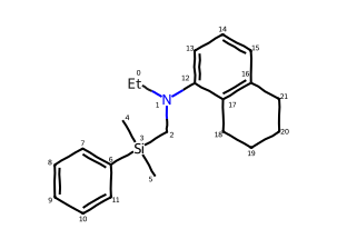 CCN(C[Si](C)(C)c1ccccc1)c1cccc2c1CCCC2